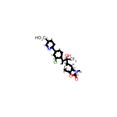 CC(c1ccc(-c2ccc(C(=O)O)cn2)cc1Cl)C(O)(c1ccc2oc(=O)n(C)c2c1)C(F)(F)F